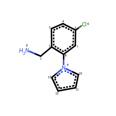 NCc1ccc(Cl)cc1-n1cccc1